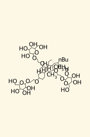 CCCC[C@@H](C)[C@H]1CC[C@H]2[C@@H]3[C@H](OCCO[C@@H]4OC(CO)[C@@H](O)C(O)[C@@H]4O)C[C@@H]4C[C@H](OCCO[C@@H]5OC(CO)[C@@H](O)C(O)[C@@H]5O)CC[C@]4(C)[C@H]3C[C@H](OCCO[C@@H]3OC(CO)[C@@H](O)C(O)[C@@H]3O)[C@]12C